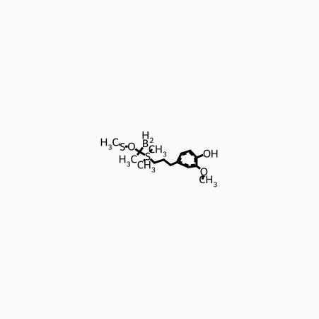 BC(C)(OSC)S(C)(C)CCCc1ccc(O)c(OC)c1